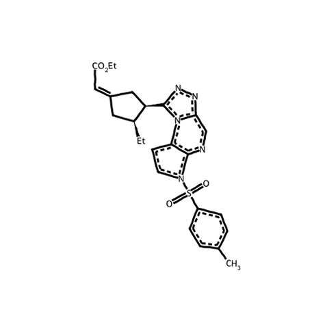 CCOC(=O)/C=C1/C[C@H](CC)[C@H](c2nnc3cnc4c(ccn4S(=O)(=O)c4ccc(C)cc4)n23)C1